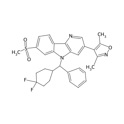 Cc1noc(C)c1-c1cnc2c3ccc(S(C)(=O)=O)cc3n(C(c3ccccc3)C3CCC(F)(F)CC3)c2c1